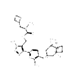 Cc1nc(-c2nnn(C)c2COC(=O)N(C)CC2CCC2)ccc1O[C@@H]1C[C@@H]2CC[C@@H]2[C@@H](C(=O)O)C1